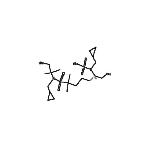 CC(C)(C)CC(C)(C)N(CC1CC1)S(=O)(=O)C(C)(C)CCC[C@@H](CO)N(CC1CC1)S(=O)(=O)C(C)(C)C